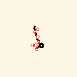 C=CC(=O)OCCOCCOc1ccccc1C(=O)O